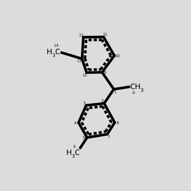 C[C](c1ccc(C)cc1)c1cccc(C)c1